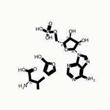 CC(C)[C@H](N)C(=O)O.Nc1ncnc2c1ncn2[C@@H]1O[C@H](COP(=O)(O)O)[C@@H](O)[C@H]1O.Oc1ccco1